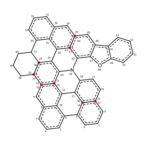 c1ccc(-c2cccc3cccc(-c4ccccc4N(c4ccccc4-c4cccc5cccc(C6CCCCC6)c45)c4cccc5c4oc4ccccc45)c23)cc1